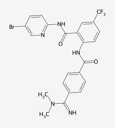 CN(C)C(=N)c1ccc(C(=O)Nc2ccc(C(F)(F)F)cc2C(=O)Nc2ccc(Br)cn2)cc1